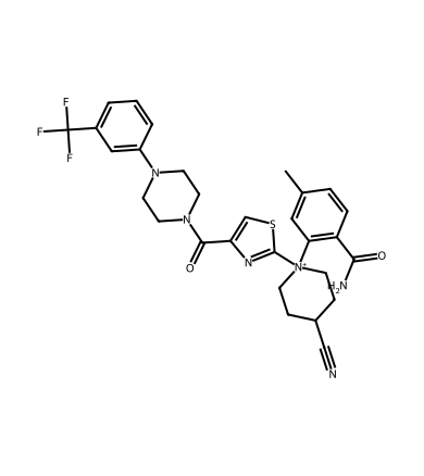 Cc1ccc(C(N)=O)c([N+]2(c3nc(C(=O)N4CCN(c5cccc(C(F)(F)F)c5)CC4)cs3)CCC(C#N)CC2)c1